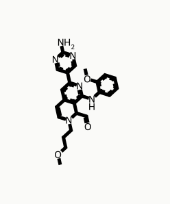 COCCCN1C=Cc2cc(-c3cnc(N)nc3)nc(Nc3ccccc3OC)c2C1C=O